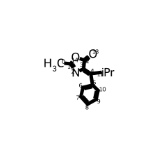 CC1=NC(=C(c2ccccc2)C(C)C)C(=O)O1